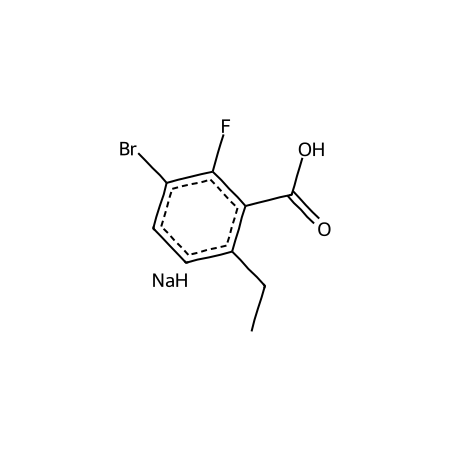 CCc1ccc(Br)c(F)c1C(=O)O.[NaH]